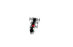 O=C(COc1ccc(Cl)c(F)c1)NC12CC(C(=O)NCCC3CNCN3)(C1)C2